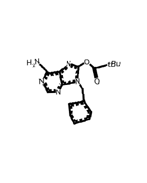 CC(C)(C)C(=O)Oc1nc2c(N)ncnc2n1Cc1ccccc1